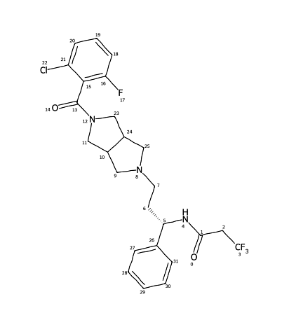 O=C(CC(F)(F)F)N[C@@H](CCN1CC2CN(C(=O)c3c(F)cccc3Cl)CC2C1)c1ccccc1